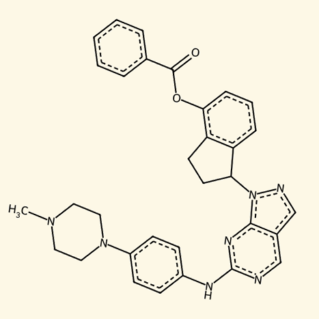 CN1CCN(c2ccc(Nc3ncc4cnn(C5CCc6c(OC(=O)c7ccccc7)cccc65)c4n3)cc2)CC1